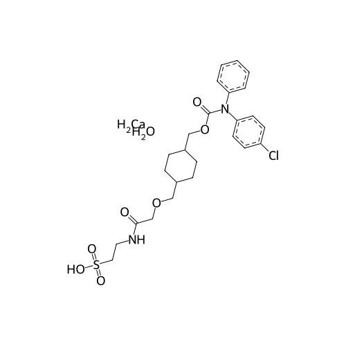 O.O=C(COCC1CCC(COC(=O)N(c2ccccc2)c2ccc(Cl)cc2)CC1)NCCS(=O)(=O)O.[CaH2]